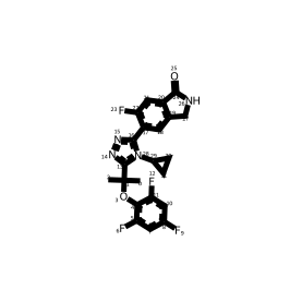 CC(C)(Oc1c(F)cc(F)cc1F)c1nnc(-c2cc3c(cc2F)C(=O)NC3)n1C1CC1